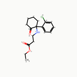 CCOC(=O)CCNC1(c2ccccc2Cl)CCCCC1=O